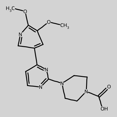 COc1cc(-c2ccnc(N3CCN(C(=O)O)CC3)n2)cnc1OC